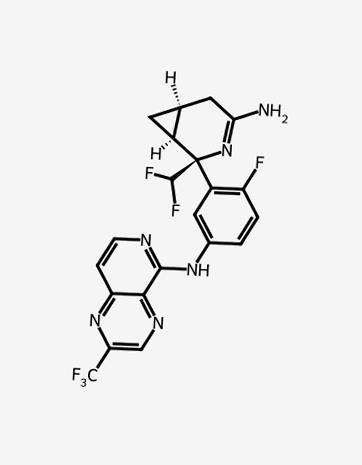 NC1=N[C@@](c2cc(Nc3nccc4nc(C(F)(F)F)cnc34)ccc2F)(C(F)F)[C@H]2C[C@H]2C1